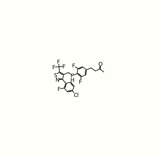 CC(=O)CCc1cc(F)c(PCc2c(-c3ccc(Cl)cc3F)nsc2C(F)(F)F)c(F)c1